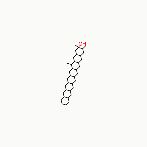 CC1C2CC3CC4CC5CC6CCCCC6CC5CC4CC3CC2CC2CC3CC(C)C(C)(O)CC3CC21